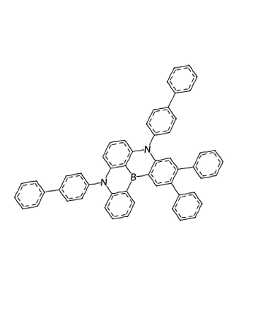 c1ccc(-c2ccc(N3c4ccccc4B4c5cc(-c6ccccc6)c(-c6ccccc6)cc5N(c5ccc(-c6ccccc6)cc5)c5cccc3c54)cc2)cc1